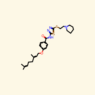 CC(C)=CCC/C(C)=C/COc1ccc(C(=O)Nc2nnc(SCCN3CCCCC3)s2)cc1